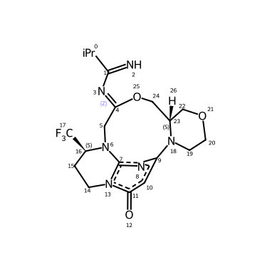 CC(C)C(=N)/N=C1/CN2c3nc(cc(=O)n3CC[C@H]2C(F)(F)F)N2CCOC[C@H]2CO1